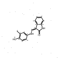 Cc1cc(NC=C2C(=O)Nc3ccccc32)ccc1O